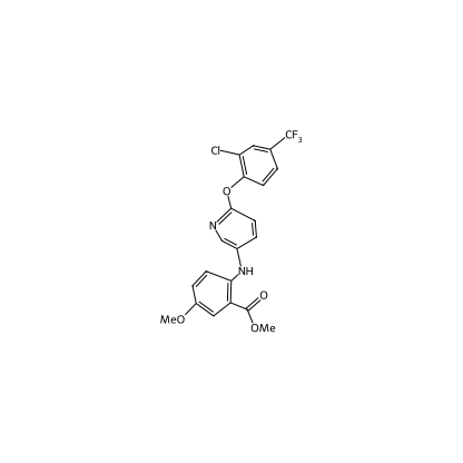 COC(=O)c1cc(OC)ccc1Nc1ccc(Oc2ccc(C(F)(F)F)cc2Cl)nc1